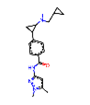 Cc1cc(NC(=O)c2ccc(C3CC3NCC3CC3)cc2)nn1C